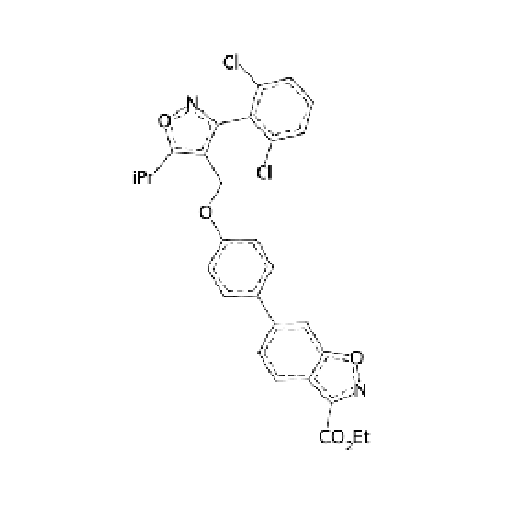 CCOC(=O)c1noc2cc(-c3ccc(OCc4c(-c5c(Cl)cccc5Cl)noc4C(C)C)cc3)ccc12